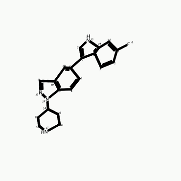 Fc1ccc2c(-c3ccc4c(cnn4C4CCNCC4)c3)c[nH]c2c1